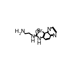 NCCNC(=O)Nc1ccc2nccnc2c1Br